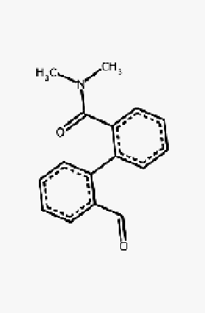 CN(C)C(=O)c1ccccc1-c1ccccc1C=O